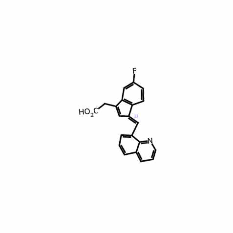 O=C(O)CC1=C/C(=C\c2cccc3cccnc23)c2ccc(F)cc21